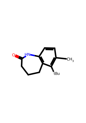 Cc1ccc2c(c1C(C)(C)C)CCCC(=O)N2